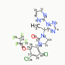 CC(c1ncnn1-c1ncccn1)N1CCN(c2cc(OC(F)(F)C(F)F)c(Cl)cc2Cl)C1=O